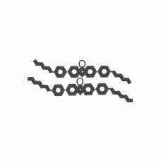 CCCCCCC[C@H]1CC[C@H](C2CCC3(CC2)CC2(CCC([C@H]4CC[C@H](CCCCCCC)CC4)CC2)C3=O)CC1.CCCCCC[C@H]1CC[C@H](C2CCC3(CC2)CC2(CCC([C@H]4CC[C@H](CCCCCC)CC4)CC2)C3=O)CC1